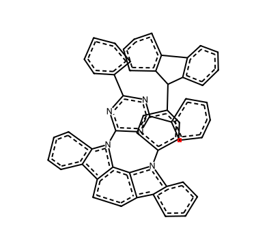 c1ccc(-c2nc(-c3ccccc3)nc(-n3c4ccccc4c4ccc5c6ccccc6n(-c6ccc(C7c8ccccc8-c8ccccc87)cc6)c5c43)n2)cc1